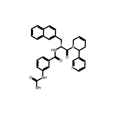 CCCC(=O)Nc1cccc(C(=O)N[C@@H](Cc2ccc3ccccc3c2)C(=O)N2CC=CCC2c2cccnc2)c1